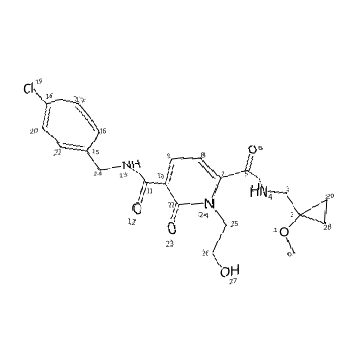 COC1(CNC(=O)c2ccc(C(=O)NCc3ccc(Cl)cc3)c(=O)n2CCO)CC1